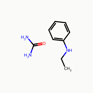 CCNc1ccccc1.NC(N)=O